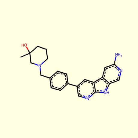 CC1(O)CCCN(Cc2ccc(-c3cnc4[nH]c5cnc(N)cc5c4c3)cc2)C1